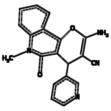 Cn1c(=O)c2c(c3ccccc31)OC(N)=C(C#N)C2c1cccnc1